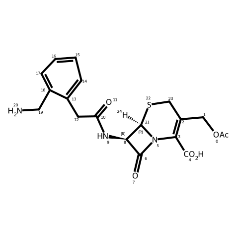 CC(=O)OCC1=C(C(=O)O)N2C(=O)[C@@H](NC(=O)Cc3ccccc3CN)[C@H]2SC1